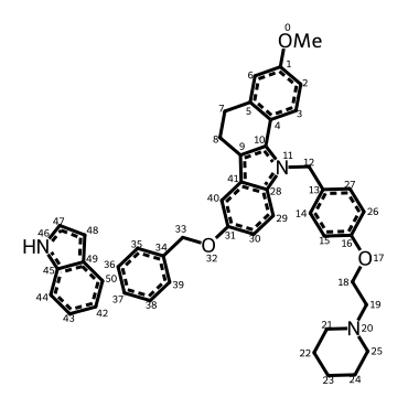 COc1ccc2c(c1)CCc1c-2n(Cc2ccc(OCCN3CCCCC3)cc2)c2ccc(OCc3ccccc3)cc12.c1ccc2[nH]ccc2c1